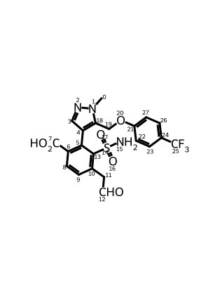 Cn1ncc(-c2c(C(=O)O)ccc(CC=O)c2S(N)(=O)=O)c1COc1ccc(C(F)(F)F)cc1